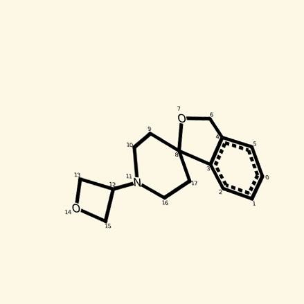 c1ccc2c(c1)COC21CCN(C2COC2)CC1